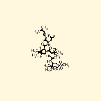 CC(C)CCNC(=O)[C@H](CC(F)F)NC(=O)[C@@H]1[C@@H]2[C@H](CN1C(=O)[C@@H](NC(=O)N[C@H](CN(C)S(C)(=O)=O)C(C)(C)C)C(C)(C)C)C2(C)C